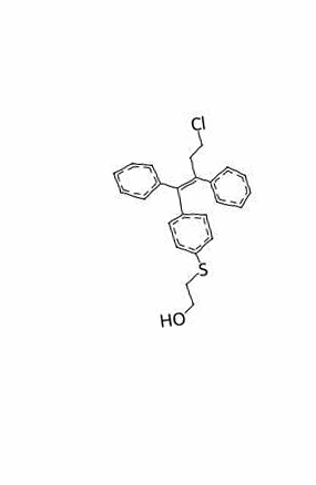 OCCSc1ccc(/C(=C(/CCCl)c2ccccc2)c2ccccc2)cc1